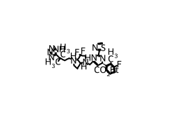 CCOC(=O)C1=C(CN2CC(F)(F)[C@H]3[C@@H]2CCN3CCC(C)(C)c2nnn[nH]2)NC(c2nccs2)=N[C@H]1c1cccc(F)c1C